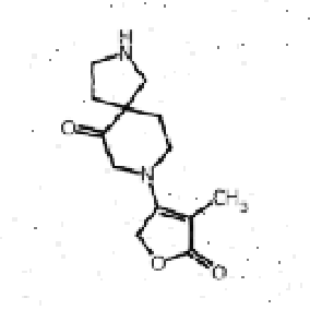 CC1=C(N2CCC3(CCNC3)C(=O)C2)COC1=O